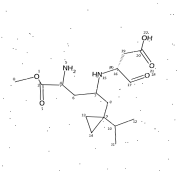 COC(=O)C(N)CC(CC1(C(C)C)CC1)N[C@@H](C=O)CC(=O)O